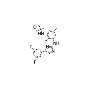 Cc1cc(Nc2ncn(-c3cc(F)cc(F)c3)n2)c(F)c(NC2(C)COC2)c1